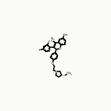 CC[C@@H]1CCN(CCOc2ccc(C3Oc4ccc(O)cc4C(C)=C3c3ccc(F)cc3F)cc2)C1